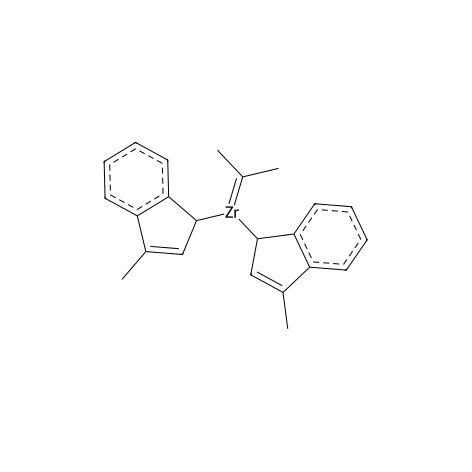 CC1=C[CH]([Zr](=[C](C)C)[CH]2C=C(C)c3ccccc32)c2ccccc21